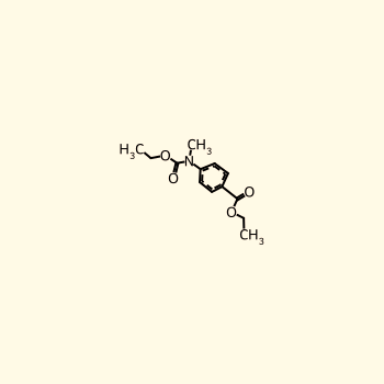 CCOC(=O)c1ccc(N(C)C(=O)OCC)cc1